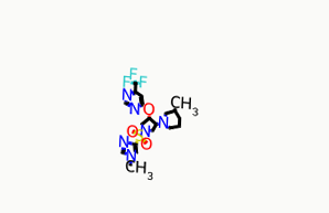 CC1CCCN(C2CN(S(=O)(=O)c3cn(C)cn3)CC2Oc2cc(C(F)(F)F)ncn2)C1